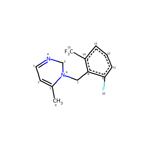 CC1=CC=NCN1Cc1c(F)cccc1C(F)(F)F